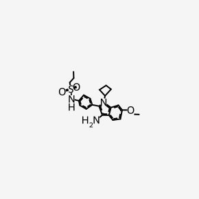 CCCS(=O)(=O)Nc1ccc(-c2c(N)c3ccc(OCC)cc3n2C2CCC2)cc1